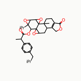 CC(C)Cc1ccc(C(C)C(=O)OC2C3(C(C)C)OC3C3OC34C3(C)CCC5=C(COC5=O)C3CC3OC324)cc1